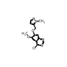 COc1cc2c(Cl)ncnc2cc1OCc1ccnn1C